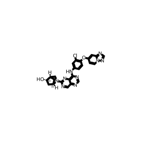 O[C@H]1C[C@@H]2C[C@H]1CN2c1ncc2ncnc(Nc3ccc(Oc4ccn5ncnc5c4)c(Cl)c3)c2n1